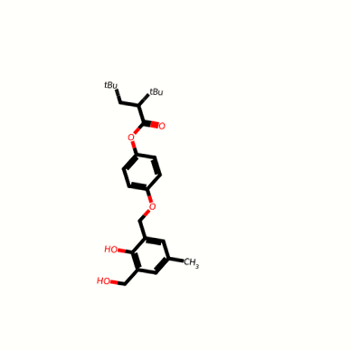 Cc1cc(CO)c(O)c(COc2ccc(OC(=O)C(CC(C)(C)C)C(C)(C)C)cc2)c1